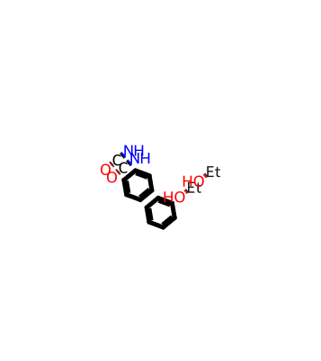 CCO.CCO.N=C=O.N=C=O.c1ccccc1.c1ccccc1